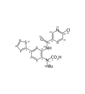 CCCCN(C(=O)O)c1ccc(-c2cccs2)cc1NC(=O)c1ccc(Cl)nc1